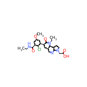 CCNC(=O)c1cc(OC)cc(-c2cc3cnc4c(ccn4CC(=O)O)c3n(CC)c2=O)c1Cl